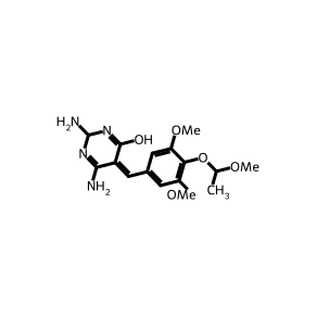 COc1cc(/C=C2/C(N)=NC(N)N=C2O)cc(OC)c1OC(C)OC